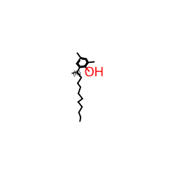 CCCCCCCCCC[C@@H](C)c1cc(C)cc(C)c1O